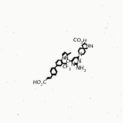 Cc1ccn(-c2ccc(-c3ccc(C=CC(=O)O)cc3)cc2[C@@H](Oc2cc(N3CCC4(CC3)CN[C@H](C(=O)O)C4)nc(N)n2)C(F)(F)F)n1